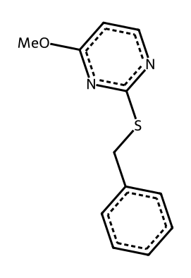 COc1ccnc(SCc2ccccc2)n1